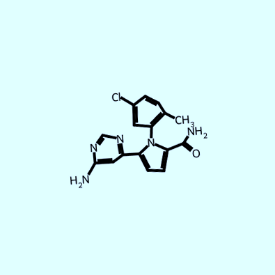 Cc1ccc(Cl)cc1-n1c(C(N)=O)ccc1-c1cc(N)ncn1